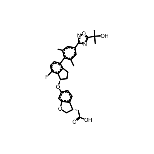 Cc1cc(-c2noc(C(C)(C)O)n2)cc(C)c1-c1ccc(F)c2c1CC[C@H]2Oc1ccc2c(c1)OC[C@H]2CC(=O)O